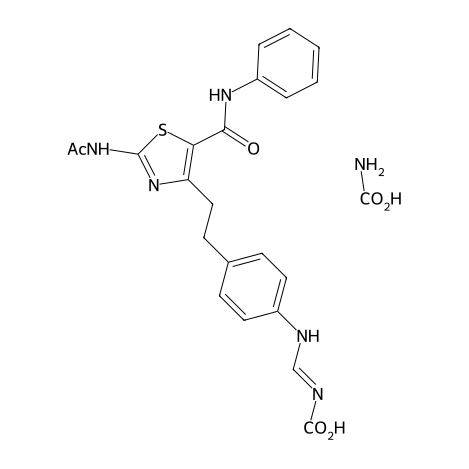 CC(=O)Nc1nc(CCc2ccc(NC=NC(=O)O)cc2)c(C(=O)Nc2ccccc2)s1.NC(=O)O